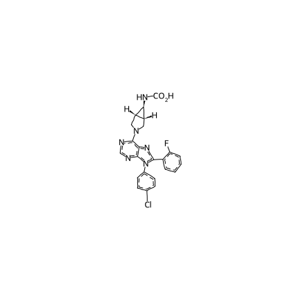 O=C(O)N[C@H]1[C@@H]2CN(c3ncnc4c3nc(-c3ccccc3F)n4-c3ccc(Cl)cc3)C[C@@H]21